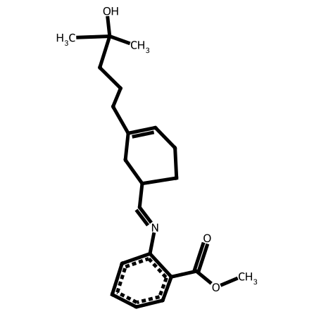 COC(=O)c1ccccc1N=CC1CCC=C(CCCC(C)(C)O)C1